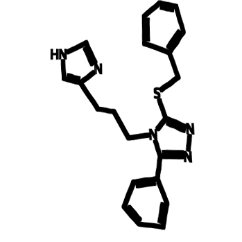 c1ccc(CSc2nnc(-c3ccccc3)n2CCCc2c[nH]cn2)cc1